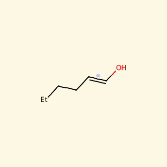 [CH2]CCC/C=C/O